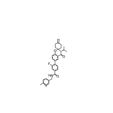 Cc1ccc(CNC(=O)c2ccc(-c3ccc4c(c3)C(=O)[C@H](C(C)C)C3(CCNCC3)O4)c(F)c2)cn1